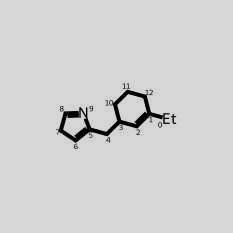 CCC1=CC(CC2=CCC=N2)CCC1